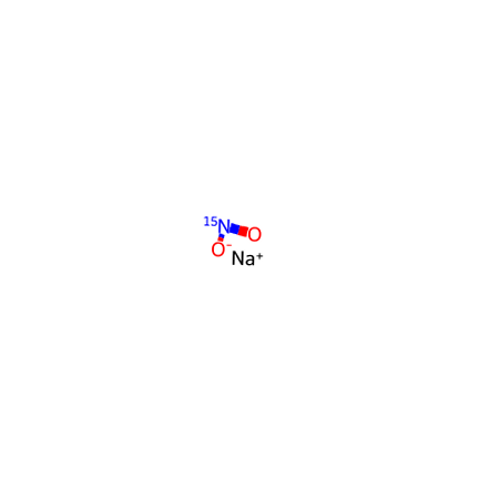 O=[15N][O-].[Na+]